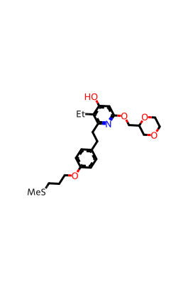 CCc1c(O)cc(OCC2COCCO2)nc1CCc1ccc(OCCCSC)cc1